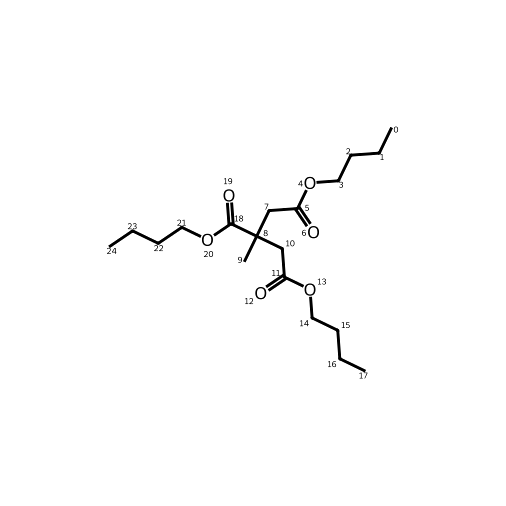 CCCCOC(=O)CC(C)(CC(=O)OCCCC)C(=O)OCCCC